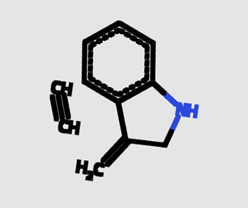 C#C.C=C1CNc2ccccc21